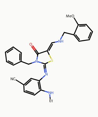 CCNc1ccc(C#N)cc1/N=C1/S/C(=C\NCc2ccccc2OC)C(=O)N1Cc1ccccc1